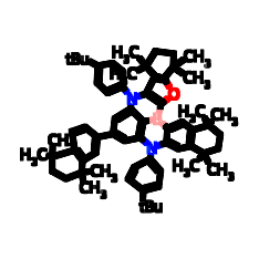 CC(C)(C)c1ccc(N2c3cc4c(cc3B3c5oc6c(c5N(c5ccc(C(C)(C)C)cc5)c5cc(-c7ccc8c(c7)C(C)(C)CCC8(C)C)cc2c53)C(C)(C)CCC6(C)C)C(C)(C)CCC4(C)C)cc1